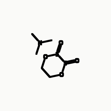 CN(C)C.O=S1OCCOS1=O